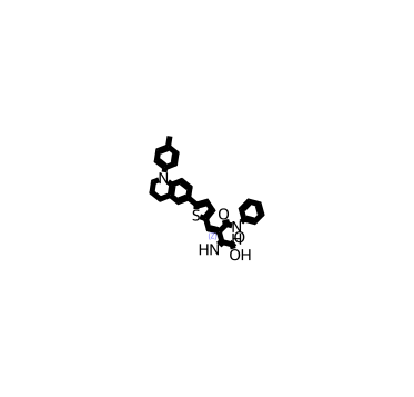 Cc1ccc(N2CCCc3cc(-c4ccc(/C=C(/C(=N)C(=O)O)C(=O)Nc5ccccc5)s4)ccc32)cc1